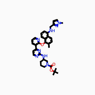 Cc1ccc2c(NCc3ccn(C)n3)cccc2c1Oc1ncccc1-c1ccnc(NC2CCCN(C(=O)OC(C)(C)C)C2)n1